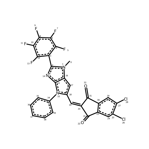 Cn1c(-c2c(F)c(F)c(F)c(F)c2F)nc2c1cc(C=C1C(=O)c3cc(Cl)c(Cl)cc3C1=O)n2-c1ccccc1